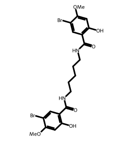 COc1cc(O)c(C(=O)NCCCCCNC(=O)c2cc(Br)c(OC)cc2O)cc1Br